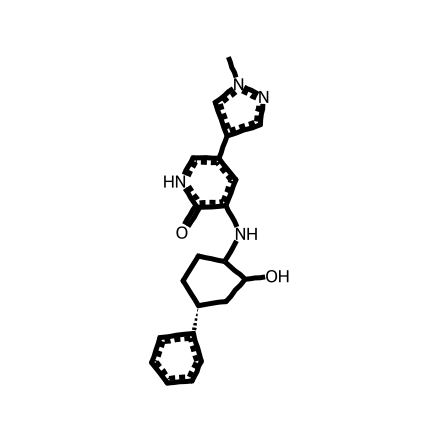 Cn1cc(-c2c[nH]c(=O)c(NC3CC[C@@H](c4ccccc4)CC3O)c2)cn1